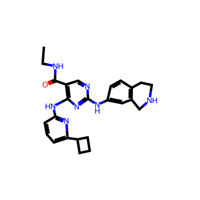 CCNC(=O)c1cnc(Nc2ccc3c(c2)CNCC3)nc1Nc1cccc(C2CCC2)n1